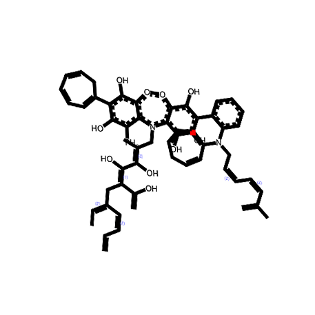 C=C/C=C\C(=C/C)C/C(C(=C)O)=C(O)/C(O)=C(\C)Cn1c2c(O)c(O)c(-c3ccccc3N(C/C=C\C=C/C(=C)C)C3=CC=CCC=C3)c(O)c2ooc2c(O)c(C3=CC=CC=CC3)c(O)c(P)c21